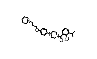 COc1c(C(=O)N2CCN(c3ccc(OCCCN4CCCCC4)cc3)CC2)cccc1C(C)C